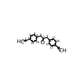 C#Cc1ccc(CC(=O)Cc2ccc(C#C)cc2)cc1